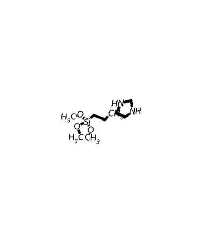 C1CNCN1.CCC[Si](OC)(OC)OC